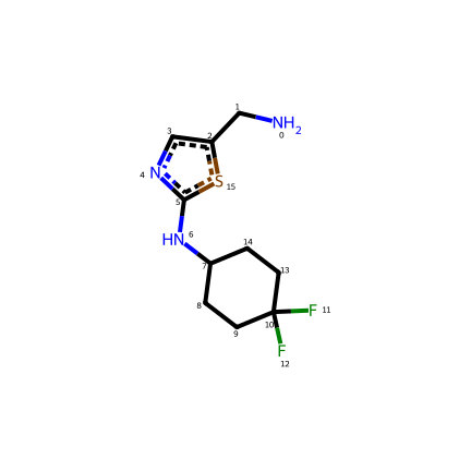 NCc1cnc(NC2CCC(F)(F)CC2)s1